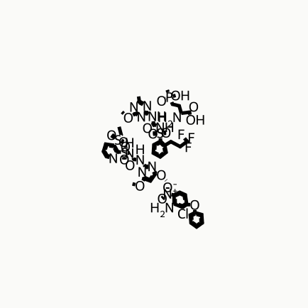 CCS(=O)(=O)c1cccnc1S(=O)(=O)NC(=O)Nc1nc(OC)cc(OC)n1.COc1nc(C)nc(NC(=O)NS(=O)(=O)c2ccccc2CCC(F)(F)F)n1.CP(=O)(O)CCC(N)C(=O)O.Nc1c([N+](=O)[O-])ccc(Oc2ccccc2)c1Cl